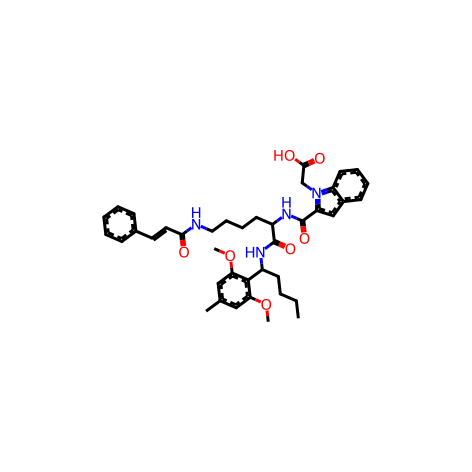 CCCCC(NC(=O)C(CCCCNC(=O)/C=C/c1ccccc1)NC(=O)c1cc2ccccc2n1CC(=O)O)c1c(OC)cc(C)cc1OC